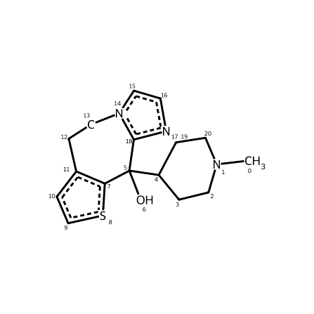 CN1CCC(C2(O)c3sccc3CCn3ccnc32)CC1